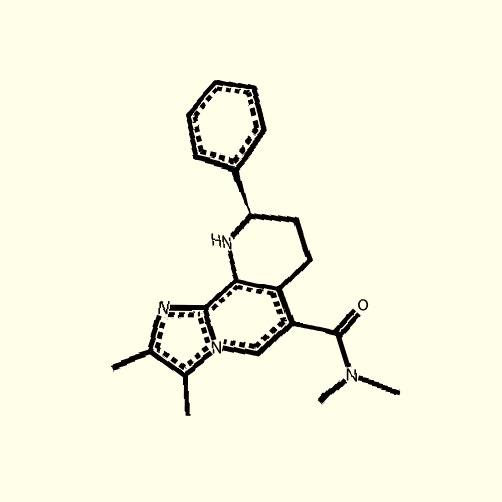 Cc1nc2c3c(c(C(=O)N(C)C)cn2c1C)CC[C@H](c1ccccc1)N3